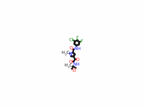 Cn1cc(C(=O)C(=O)NC2(C)COC2)cc1C(=O)Nc1cc(F)c(F)c(Cl)c1